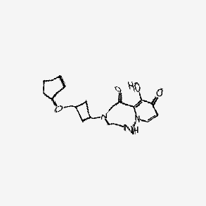 O=C1c2c(O)c(=O)ccn2NCN1C1CC(OC2CCCC2)C1